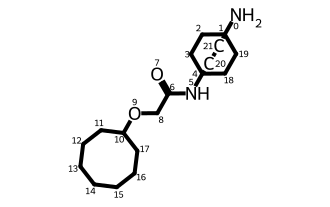 NC12CCC(NC(=O)COC3CCCCCCC3)(CC1)CC2